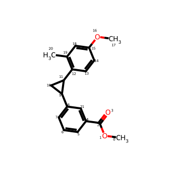 COC(=O)c1cccc(C2CC2c2ccc(OC)cc2C)c1